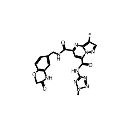 Cn1nnc(NC(=O)c2cc(C(=O)NCc3ccc4c(c3)NC(=O)CO4)nc3c(F)cnn23)n1